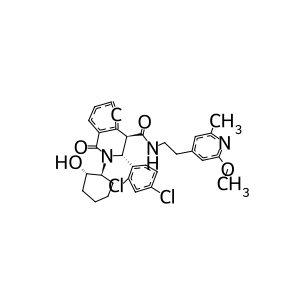 COc1cc(CCNC(=O)[C@@H]2c3ccccc3C(=O)N([C@H]3CCCC[C@@H]3O)[C@H]2c2ccc(Cl)cc2Cl)cc(C)n1